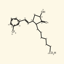 O=C(O)CCCCCCC1C(=O)C(O)CC1C=Cc1cccc(C(F)(F)F)c1